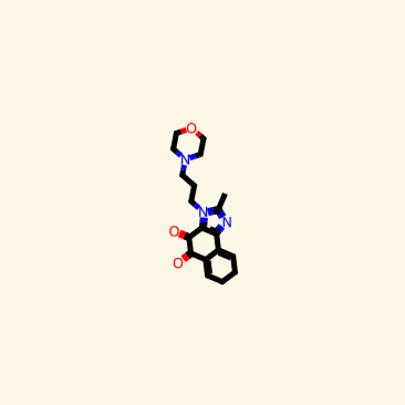 Cc1nc2c(n1CCCN1CCOCC1)C(=O)C(=O)C1=CCCC=C12